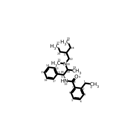 CCc1ccccc1C(=O)N[C@H](c1ccccc1)C(C)N(C)CC(CC)CC